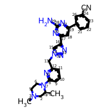 C[C@H]1CN(C)CCN1c1cccc(Cn2cc(-c3cc(-c4cccc(C#N)c4)nc(N)n3)nn2)n1